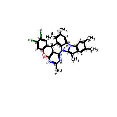 Cc1cc2c(C)c3n4c5c(c(C)c(C)cc5n3c2cc1C)B1c2cc(F)c(F)cc2Oc2nc(C(C)(C)C)nc-4c21